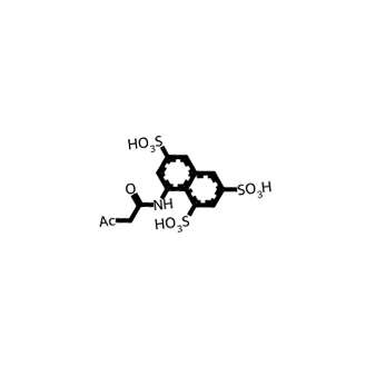 CC(=O)CC(=O)Nc1cc(S(=O)(=O)O)cc2cc(S(=O)(=O)O)cc(S(=O)(=O)O)c12